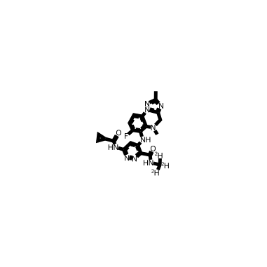 [2H]C([2H])([2H])NC(=O)c1nnc(NC(=O)C2CC2)cc1Nc1c(F)ccc2c1N(C)Cc1nc(C)nn1-2